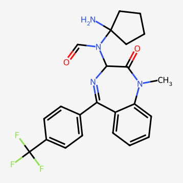 CN1C(=O)C(N(C=O)C2(N)CCCC2)N=C(c2ccc(C(F)(F)F)cc2)c2ccccc21